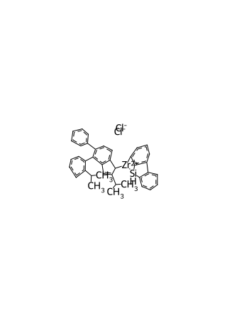 CC(C)C1=Cc2c(ccc(-c3ccccc3)c2-c2ccccc2C(C)C)[CH]1[Zr+2]1[c]2cccc3c2[SiH]1c1ccccc1-3.[Cl-].[Cl-]